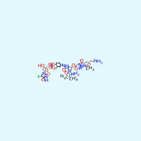 CC(=O)N[C@H](CCCCN)C(=O)NCC(=O)O[C@@H]1CC(C(=O)Nc2ccc3c(c2)COP(=O)(OC[C@H]2O[C@@H](n4cc(F)c(=O)[nH]c4=O)C[C@@H]2O)O3)N(C(=O)C(N)C(C)C)C1